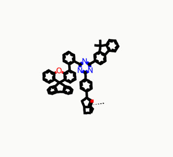 C[C@H]1CC2CC3CC(c4ccc(-c5nc(-c6ccc7c(c6)C(C)(C)c6ccccc6-7)nc(-c6ccccc6-c6cccc7c6Oc6ccccc6C76c7ccccc7-c7ccccc76)n5)cc4)(CC23)C1